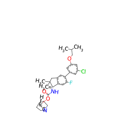 CC(C)COc1cc(Cl)cc(-c2cc3c(cc2F)[C@H](NC(=O)O[C@@H]2CN4CCC2CC4)C(C)(C)C3)c1